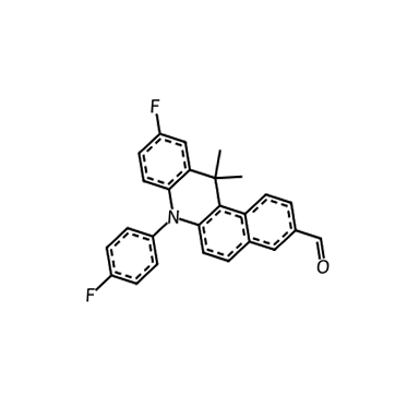 CC1(C)c2cc(F)ccc2N(c2ccc(F)cc2)c2ccc3cc(C=O)ccc3c21